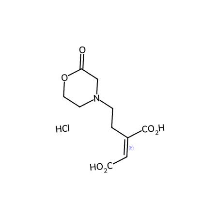 Cl.O=C(O)/C=C(\CCN1CCOC(=O)C1)C(=O)O